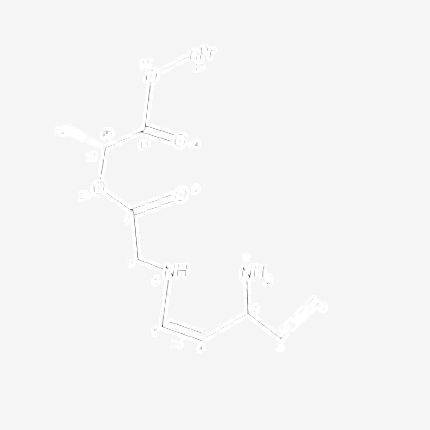 C=CC(N)/C=C\NCC(=O)O[C@H](C)C(=O)OCCC